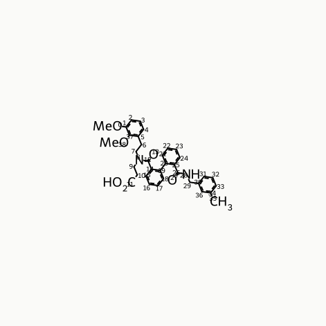 COc1cccc(CCN(CCC(=O)O)C(=O)c2ccccc2-c2ccccc2C(=O)NCc2cccc(C)c2)c1OC